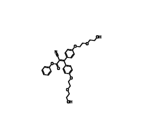 N#CC(C(=O)Oc1ccccc1)=C(c1ccc(OCCOCCO)cc1)c1ccc(OCCOCCO)cc1